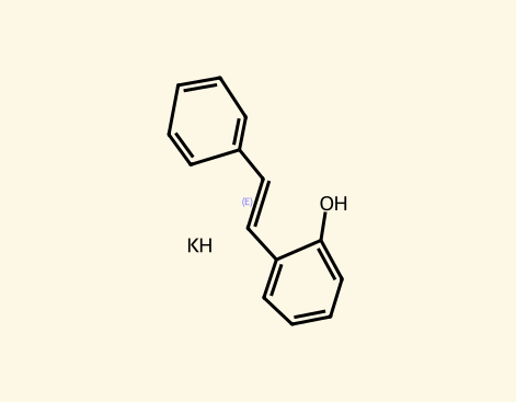 Oc1ccccc1/C=C/c1ccccc1.[KH]